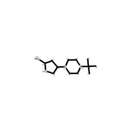 CC(C)(C)N1CCN(C2COC(O)C2)CC1